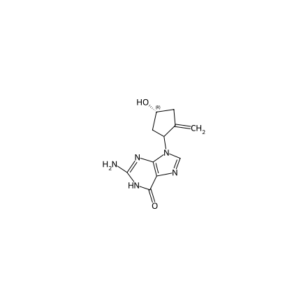 C=C1C[C@@H](O)CC1n1cnc2c(=O)[nH]c(N)nc21